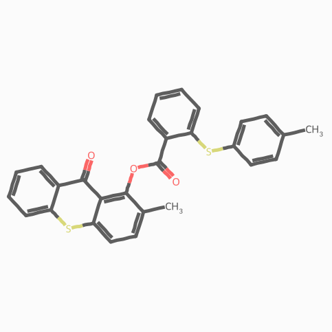 Cc1ccc(Sc2ccccc2C(=O)Oc2c(C)ccc3sc4ccccc4c(=O)c23)cc1